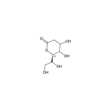 O=C1CC(O)C(O)[C@@H](C(O)CO)O1